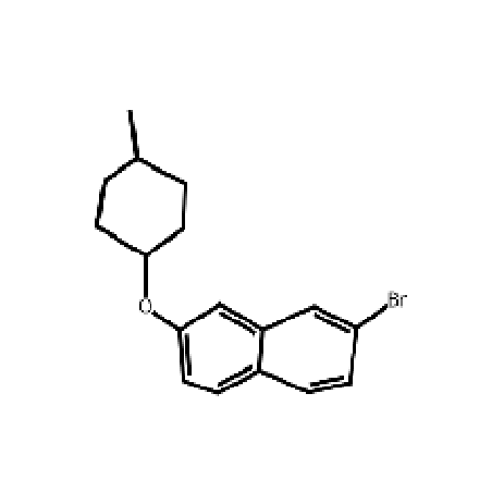 CC1CCC(Oc2ccc3ccc(Br)cc3c2)CC1